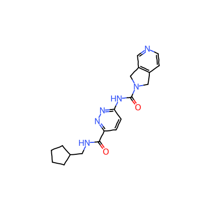 O=C(NCC1CCCC1)c1ccc(NC(=O)N2Cc3ccncc3C2)nn1